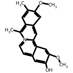 COc1cc2cc3c4cc(OC)c(O)cc4cc[n+]3c(C)c2cc1C